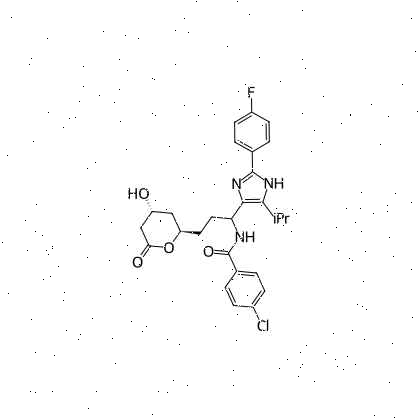 CC(C)c1[nH]c(-c2ccc(F)cc2)nc1C(CC[C@@H]1C[C@@H](O)CC(=O)O1)NC(=O)c1ccc(Cl)cc1